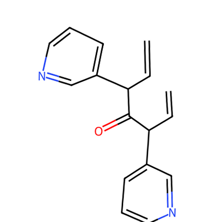 C=CC(C(=O)C(C=C)c1cccnc1)c1cccnc1